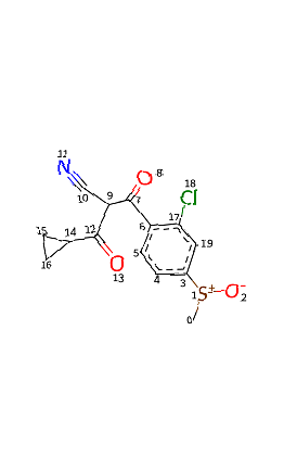 C[S+]([O-])c1ccc(C(=O)C(C#N)C(=O)C2CC2)c(Cl)c1